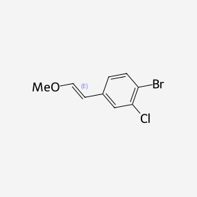 CO/C=C/c1ccc(Br)c(Cl)c1